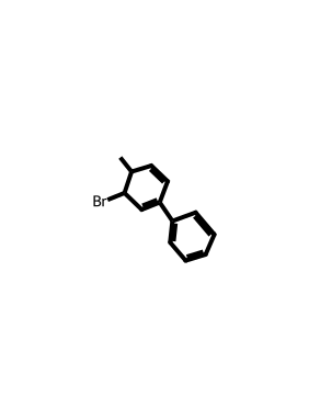 CC1C=CC(c2ccccc2)=CC1Br